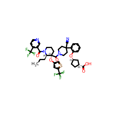 CCC[C@H]1N(C(=O)c2cnccc2C(F)(F)F)CCC[C@@]1(Oc1csc(C(F)(F)F)c1)C(=O)N1CCC(C#N)(c2ccccc2O[C@H]2CC[C@@H](C(=O)O)C2)CC1